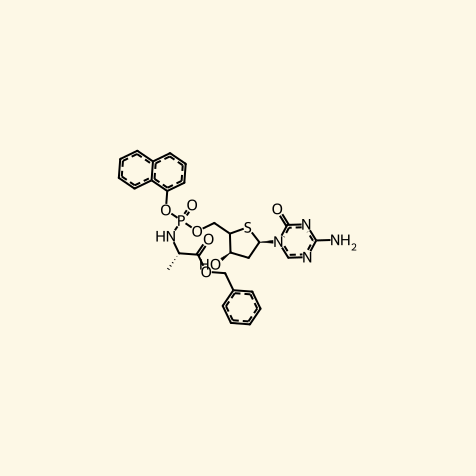 C[C@H](NP(=O)(OCC1S[C@@H](n2cnc(N)nc2=O)C[C@H]1O)Oc1cccc2ccccc12)C(=O)OCc1ccccc1